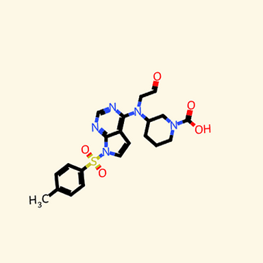 Cc1ccc(S(=O)(=O)n2ccc3c(N(CC=O)C4CCCN(C(=O)O)C4)ncnc32)cc1